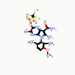 COc1ccc(C)c(-n2c(N)c(C(N)=O)c3nc(OS(=O)(=O)C(F)(F)F)c(Br)nc32)c1C